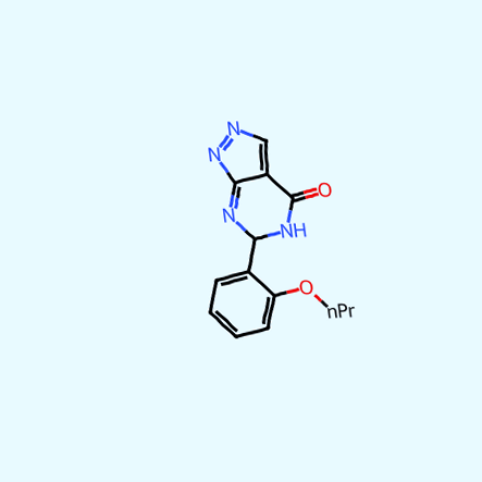 CCCOc1ccccc1C1N=C2N=NC=C2C(=O)N1